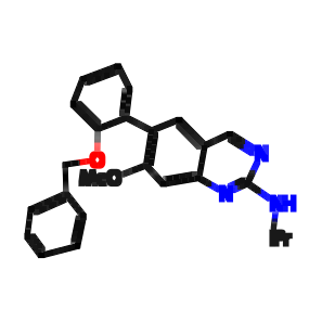 COc1cc2nc(NC(C)C)ncc2cc1-c1ccccc1OCc1ccccc1